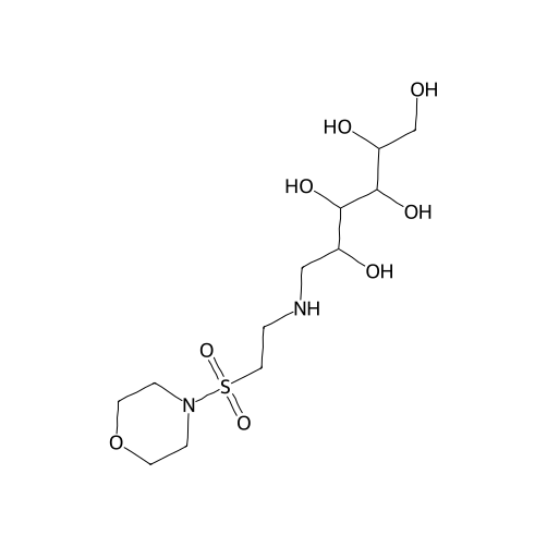 O=S(=O)(CCNCC(O)C(O)C(O)C(O)CO)N1CCOCC1